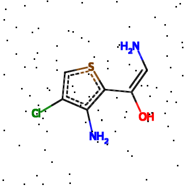 N/C=C(/O)c1scc(Cl)c1N